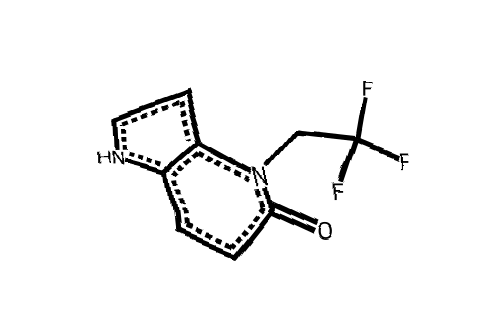 O=c1ccc2[nH]ccc2n1CC(F)(F)F